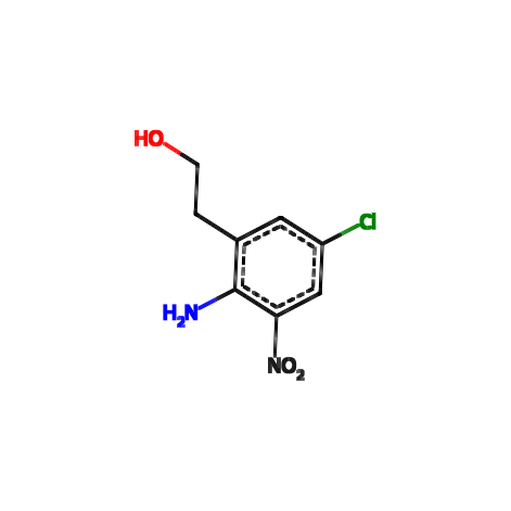 Nc1c(CCO)cc(Cl)cc1[N+](=O)[O-]